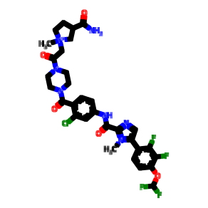 Cn1c(-c2ccc(OC(F)F)c(F)c2F)cnc1C(=O)Nc1ccc(C(=O)N2CCN(C(=O)C[N+]3(C)CCC(C(N)=O)C3)CC2)c(Cl)c1